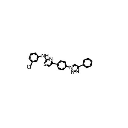 Clc1cccc(Nc2nc(-c3ccc(-n4cc(-c5ccccc5)nn4)cc3)cs2)c1